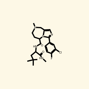 CNC(=O)C(CC(C)(C)C)NC(=O)C1CCN(C)Cc2cnc(-c3ccc(F)c(Cl)c3)n21